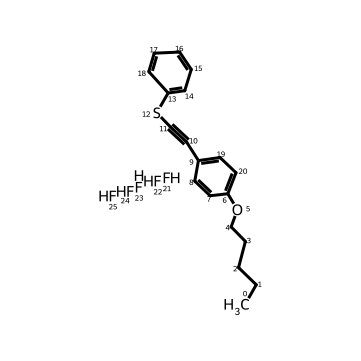 CCCCCOc1ccc(C#CSc2ccccc2)cc1.F.F.F.F.F